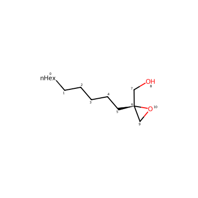 CCCCCCCCCCC[C@]1(CO)CO1